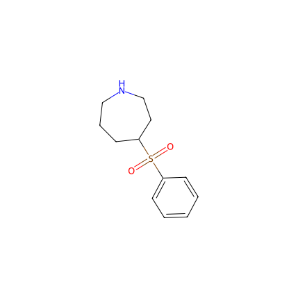 O=S(=O)(c1ccccc1)C1CCCNCC1